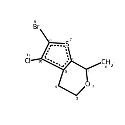 [CH2]C1OCCc2c1sc(Br)c2Cl